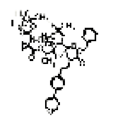 C[C@@H](OC(=O)C1(N(C)C(=O)OC(C)(C)C)CC1)C(=O)N(C)[C@@H](CC(C)(C)F)C(=O)O[C@H](CCc1ccc(C2=CCOCC2)cc1)C(=O)OCc1ccccc1